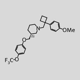 COc1ccc(C2(CN3CCC[C@H](COc4ccc(OC(F)(F)F)cc4)C3)CCC2)cc1